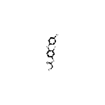 O=C(CCl)Nc1ccc(Oc2ccc(Br)cc2)c(F)c1